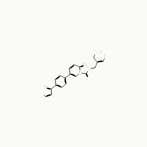 NC/C(=C\F)Cn1nc2ccc(-c3ccc(-c4ccon4)cc3)cn2c1=O